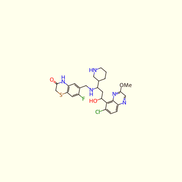 COc1cnc2ccc(Cl)c(C(O)CC(NCc3cc4c(cc3F)SCC(=O)N4)C3CCCNC3)c2n1